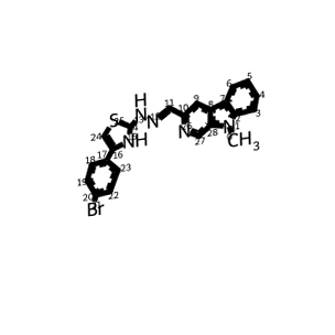 Cn1c2ccccc2c2cc(/C=N/NC3NC(c4ccc(Br)cc4)=CS3)ncc21